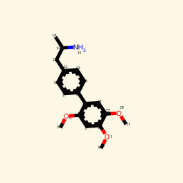 COc1cc(OC)c(-c2ccc(CC(C)N)cc2)cc1OC